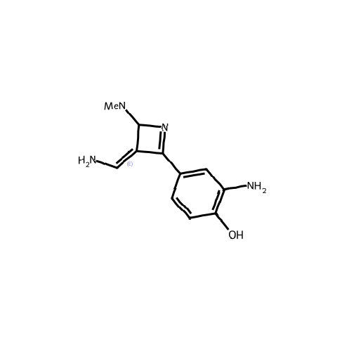 CNC1N=C(c2ccc(O)c(N)c2)/C1=C/N